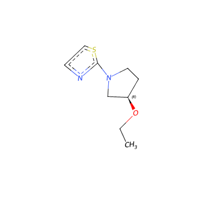 CCO[C@@H]1CCN(c2nccs2)C1